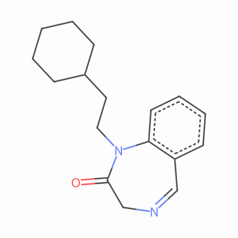 O=C1CN=Cc2ccccc2N1CCC1CCCCC1